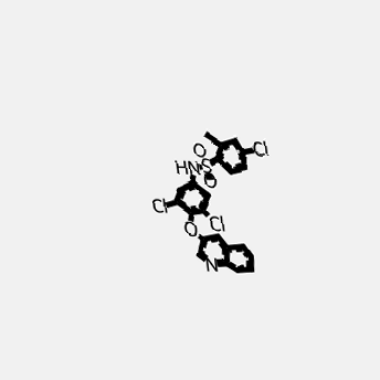 Cc1cc(Cl)ccc1S(=O)(=O)Nc1cc(Cl)c(Oc2cnc3ccccc3c2)c(Cl)c1